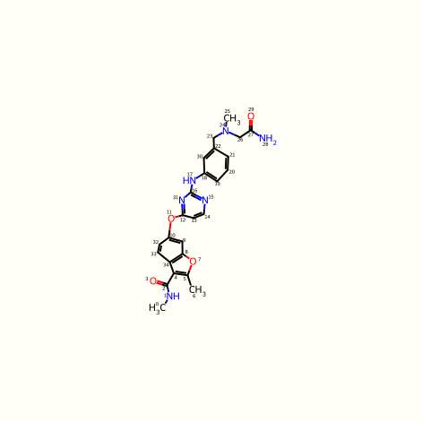 CNC(=O)c1c(C)oc2cc(Oc3ccnc(Nc4cccc(CN(C)CC(N)=O)c4)n3)ccc12